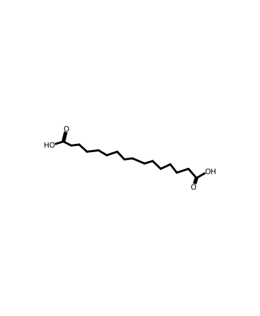 O=C(O)CCCCCCCCCCCCCCC(=O)O